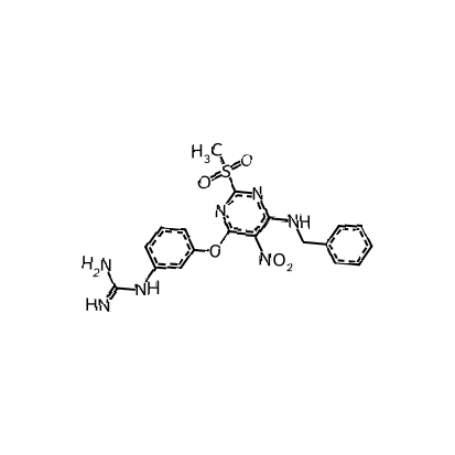 CS(=O)(=O)c1nc(NCc2ccccc2)c([N+](=O)[O-])c(Oc2cccc(NC(=N)N)c2)n1